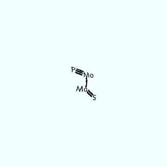 [P]#[Mo][Mo]=[S]